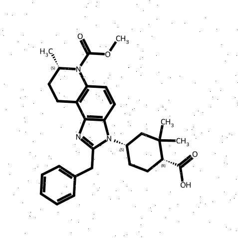 COC(=O)N1c2ccc3c(nc(Cc4ccccc4)n3[C@H]3CC[C@@H](C(=O)O)C(C)(C)C3)c2CC[C@@H]1C